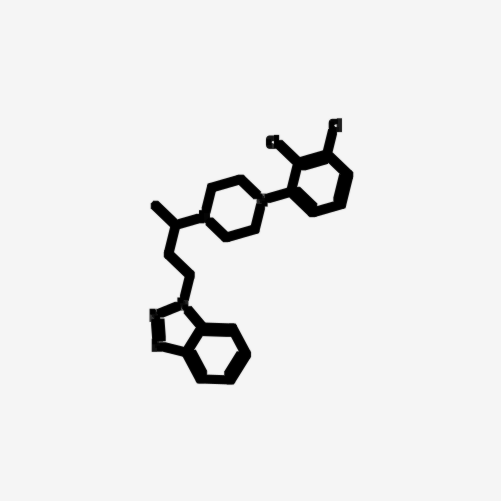 CC(CCn1nnc2ccccc21)N1CCN(c2cccc(Cl)c2Cl)CC1